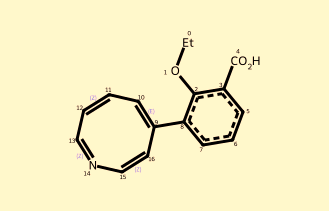 CCOc1c(C(=O)O)cccc1C1=C/C=C\C=N/C=C\1